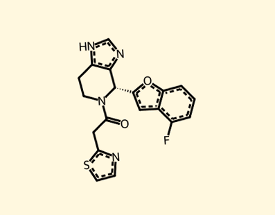 O=C(Cc1nccs1)N1CCc2[nH]cnc2[C@@H]1c1cc2c(F)cccc2o1